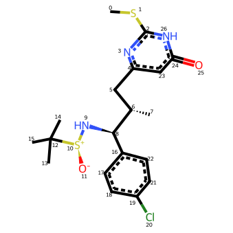 CSc1nc(C[C@H](C)[C@H](N[S@@+]([O-])C(C)(C)C)c2ccc(Cl)cc2)cc(=O)[nH]1